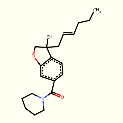 CCCC=CCC1(C)COc2cc(C(=O)N3CCCCC3)ccc21